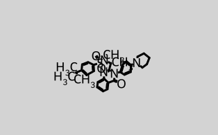 CC(c1nc2ccccc2c(=O)n1-c1ccc(N2CCCCC2)cc1)N(C)S(=O)(=O)c1ccc(C(C)(C)C)cc1